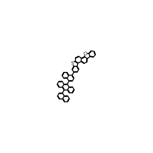 c1ccc2c(-c3c4ccccc4c(-c4ccc(-c5ccc6c(c5)sc5ccc7c(ccc8c9ccccc9oc87)c56)c5ccccc45)c4ccccc34)cccc2c1